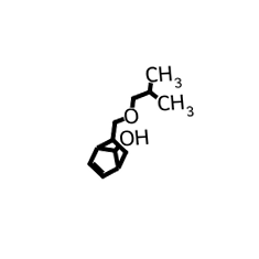 CC(C)COCC1CC2C=CC1C2O